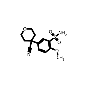 COc1ccc(C2(C#N)CCOCC2)cc1S(N)(=O)=O